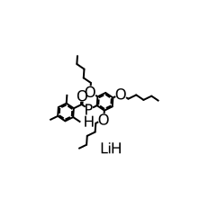 CCCCCOc1cc(OCCCCC)c(PC(=O)c2c(C)cc(C)cc2C)c(OCCCCC)c1.[LiH]